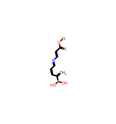 C=C(\C=C/C=N/C=C/C(=S)OCC)B(O)O